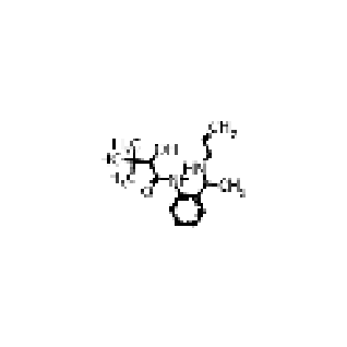 C=CCNC(C)c1ccccc1NC(=O)C(O)C(C)(C)O